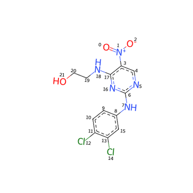 O=[N+]([O-])c1cnc(Nc2ccc(Cl)c(Cl)c2)nc1NCCO